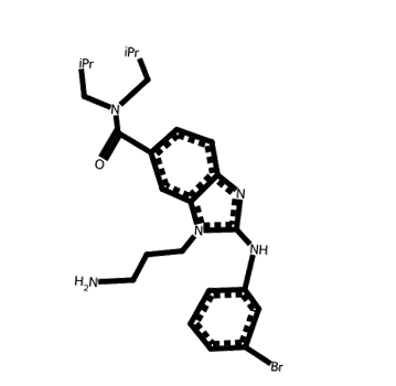 CC(C)CN(CC(C)C)C(=O)c1ccc2nc(Nc3cccc(Br)c3)n(CCCN)c2c1